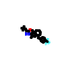 Cc1cc2c(c(C)c1NC(=O)CCC(C)(C)C)CCCCC2Cc1ccc(C(F)(F)F)cc1